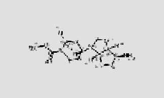 CC(C)(C)OC(=O)N1CC2CC[C@H]1CN2[C@H]1CO[C@H]2[C@@H]1OC[C@@H]2N